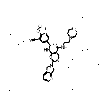 COc1ccc(CNc2nc(N3Cc4cccnc4C3)ncc2C(=O)NCCN2CCOCC2)cc1C#N